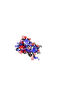 CC(C)C[C@H](NC(=O)[C@H](C)NC(=O)[C@H](C)NC(=O)[C@@H](NC(=O)CN)[C@@H](C)O)C(=O)NCC(=O)N[C@@H](CS)C(=O)N[C@@H](CC(C)C)C(=O)N[C@H](C(=O)N[C@@H](CCCCN)C(=O)N[C@@H](CC(=O)O)C(=O)N[C@@H](Cc1ccc(O)cc1)C(=O)N[C@@H](Cc1ccccc1)C(=O)N1CCC[C@H]1C(=O)N[C@@H](CCC(=O)O)C(=O)N1CCC[C@H]1C(=O)N[C@H](C(=O)N[C@H](C(=O)N[C@H](C(=O)N[C@@H](CO)C(=O)O)C(C)C)[C@@H](C)O)C(C)C)C(C)C